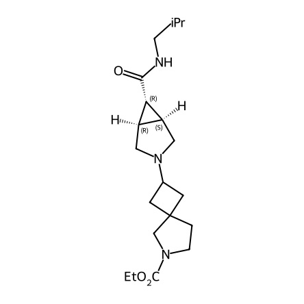 CCOC(=O)N1CCC2(CC(N3C[C@@H]4[C@H](C3)[C@H]4C(=O)NCC(C)C)C2)C1